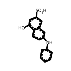 O=S(=O)(O)c1cc(O)c2ccc(Nc3ccccc3)cc2c1